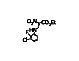 CCOC(=O)/C(=C/Nc1cccc(Cl)c1F)[N+](=O)[O-]